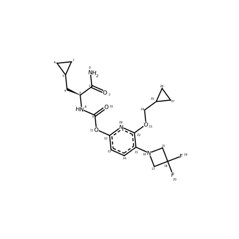 NC(=O)[C@H](CC1CC1)NC(=O)Oc1ccc(N2CC(F)(F)C2)c(OCC2CC2)n1